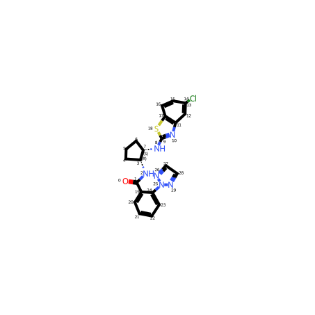 O=C(N[C@@H]1CCC[C@@H]1Nc1nc2cc(Cl)ccc2s1)c1ccccc1-n1nccn1